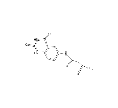 CC(=O)CC(=O)Nc1ccc2[nH]c(=O)[nH]c(=O)c2c1